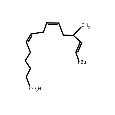 CCCC/C=C/C(C)C/C=C\C/C=C\CCCCC(=O)O